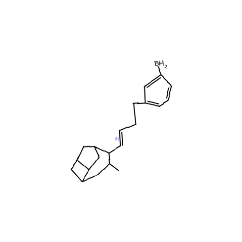 Bc1cccc(CC/C=C/C2C(C)CC3CC4CC2CC34)c1